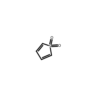 O=S1(=O)C=[C]C=C1